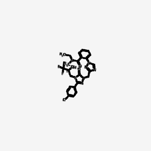 CCN(C)C(=O)c1ccccc1-n1cnc(Cn2nc(-c3ccc(Cl)cc3)n(C[C@H](O)C(F)(F)F)c2=O)n1